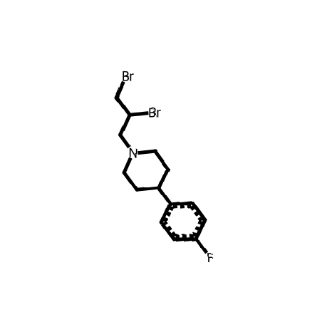 Fc1ccc(C2CCN(CC(Br)CBr)CC2)cc1